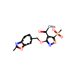 COC(=O)c1c(OCc2ccc3nc(C)oc3c2)nsc1S(C)(=O)=O